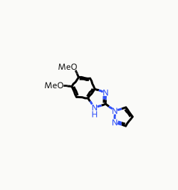 COc1cc2nc(-n3cccn3)[nH]c2cc1OC